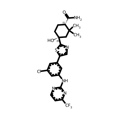 CC1(C)C[C@@](O)(c2ncc(-c3cc(Cl)cc(Nc4nccc(C(F)(F)F)n4)c3)s2)CC[C@@H]1C(N)=O